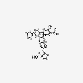 O=C(O)c1cn(-c2ccc3nc(N4CCC[C@@H]4CO)oc3c2)c(-c2ccc(N3CCCC3)cc2)cc1=O